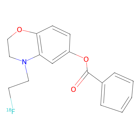 O=C(Oc1ccc2c(c1)N(CC[18F])CCO2)c1ccccc1